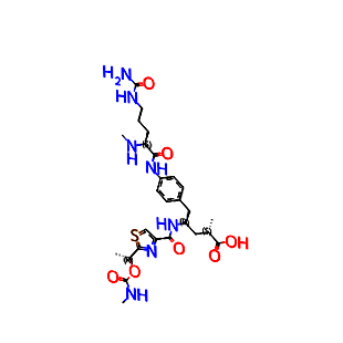 CNC(=O)O[C@H](C)c1nc(C(=O)N[C@@H](Cc2ccc(NC(=O)[C@H](CCCNC(N)=O)NC)cc2)C[C@H](C)C(=O)O)cs1